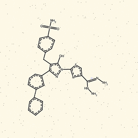 N/N=C(\NN)c1csc(-n2nc(-c3cccc(-c4ccccc4)c3)c(Cc3ccc(S(N)(=O)=O)cc3)c2O)n1